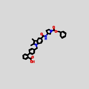 Cc1c(C)n(Cc2ccc(-c3ccccc3C(=O)O)cc2)c2ccc(C(=O)NC3CCN(C(=O)OCc4ccccc4)C3)cc12